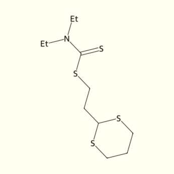 CCN(CC)C(=S)SCCC1SCCCS1